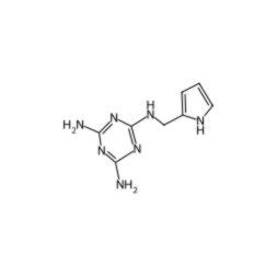 Nc1nc(N)nc(NCc2ccc[nH]2)n1